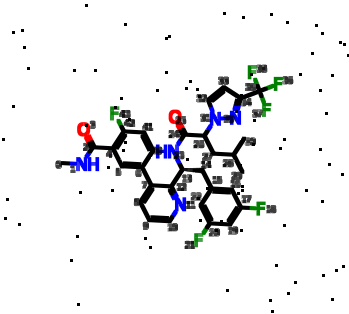 CNC(=O)c1cc(-c2cccnc2[C@H](Cc2cc(F)cc(F)c2)NC(=O)C(CC(C)C)n2ccc(C(F)(F)F)n2)ccc1F